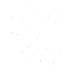 c1ccc([Si](c2ccccc2)(c2ccccc2)c2cc3c4c(c2)c2ccccc2n4-c2ccccc2C32c3ccccc3-c3ccccc32)cc1